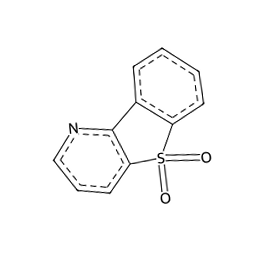 O=S1(=O)c2ccccc2-c2ncccc21